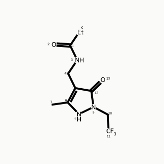 CCC(=O)NCc1c(C)[nH]n(CC(F)(F)F)c1=O